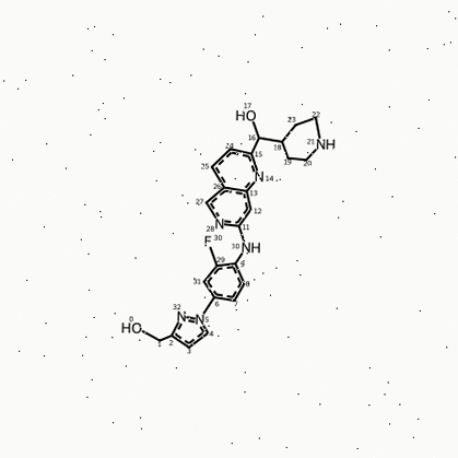 OCc1ccn(-c2ccc(Nc3cc4nc(C(O)C5CCNCC5)ccc4cn3)c(F)c2)n1